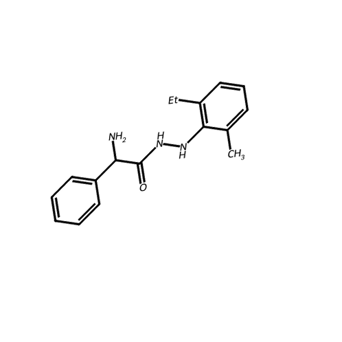 CCc1cccc(C)c1NNC(=O)C(N)c1ccccc1